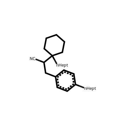 CCCCCCCc1ccc(CC(C#N)C2(CCCCCCC)CCCCC2)cc1